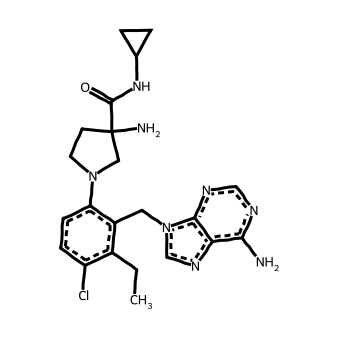 CCc1c(Cl)ccc(N2CCC(N)(C(=O)NC3CC3)C2)c1Cn1cnc2c(N)ncnc21